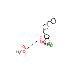 COC(=O)CCCCCCC(=O)Oc1c(CN2CCN(Cc3ccccc3)CC2)ccc(OC)c1OC.Cl.Cl